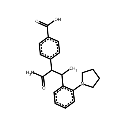 CC(c1ccccc1N1CCCC1)C(C(N)=O)c1ccc(C(=O)O)cc1